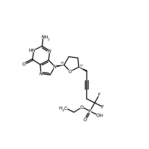 CCOP(=O)(O)C(F)(F)CC#CC[C@@H]1CC[C@H](n2cnc3c(=O)[nH]c(N)nc32)O1